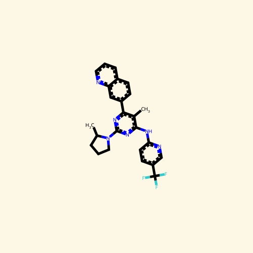 Cc1c(Nc2ccc(C(F)(F)F)cn2)nc(N2CCCC2C)nc1-c1ccc2cccnc2c1